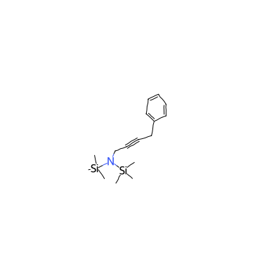 C[Si](C)(C)N(CC#CCc1ccccc1)[Si](C)(C)C